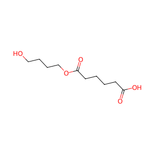 O=C(O)CCCCC(=O)OCCCCO